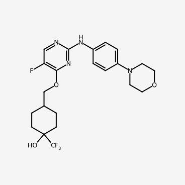 OC1(C(F)(F)F)CCC(COc2nc(Nc3ccc(N4CCOCC4)cc3)ncc2F)CC1